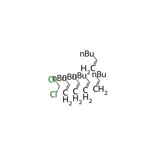 C=CCCCC.C=CCCCC.C=CCCCC.C=CCCCC.C=CCCCC.ClCCl